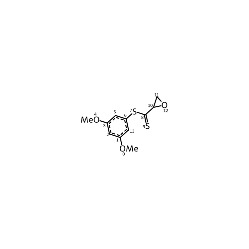 COc1cc(OC)cc(SC(=S)C2CO2)c1